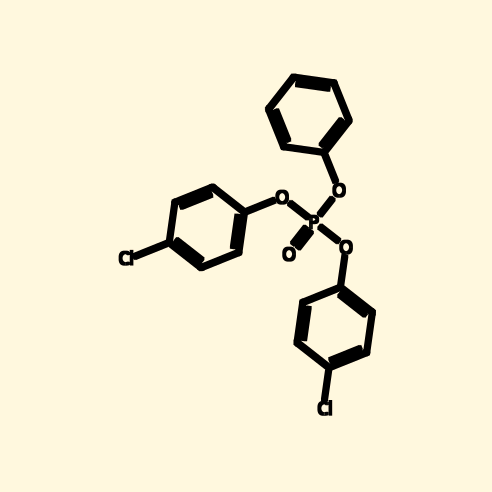 O=P(Oc1ccccc1)(Oc1ccc(Cl)cc1)Oc1ccc(Cl)cc1